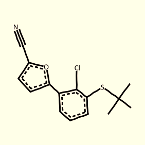 CC(C)(C)Sc1cccc(-c2ccc(C#N)o2)c1Cl